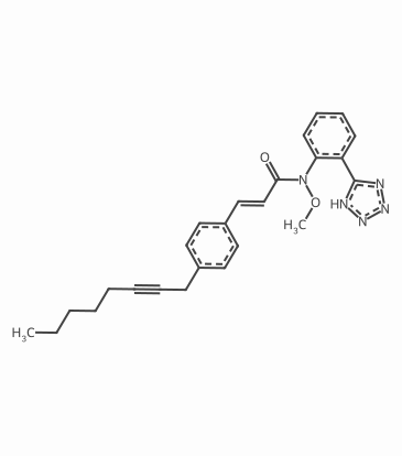 CCCCCC#CCc1ccc(/C=C/C(=O)N(OC)c2ccccc2-c2nnn[nH]2)cc1